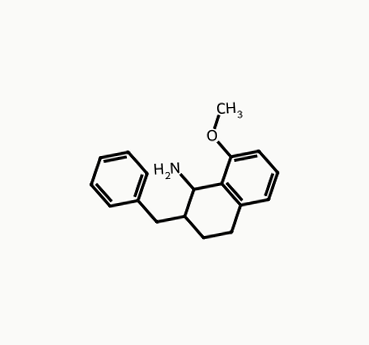 COc1cccc2c1C(N)C(Cc1ccccc1)CC2